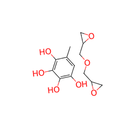 C(OCC1CO1)C1CO1.Cc1cc(O)c(O)c(O)c1O